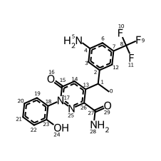 CC(c1cc(N)cc(C(F)(F)F)c1)c1cc(=O)n(-c2ccccc2O)nc1C(N)=O